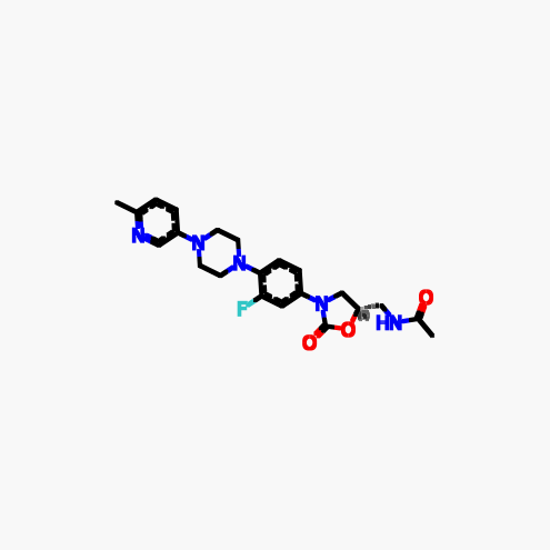 CC(=O)NC[C@H]1CN(c2ccc(N3CCN(c4ccc(C)nc4)CC3)c(F)c2)C(=O)O1